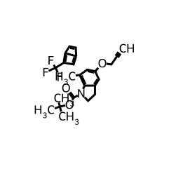 C#CCOc1cc(C)c2c(c1)CCN2C(=O)OC(C)(C)C.FC(F)(F)c1cc2ccc1-2